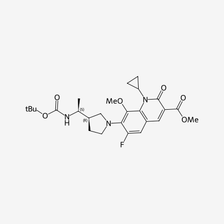 COC(=O)c1cc2cc(F)c(N3CC[C@@H]([C@H](C)NC(=O)OC(C)(C)C)C3)c(OC)c2n(C2CC2)c1=O